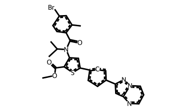 COC(=O)c1sc(-c2ccc(-c3cc4ncccn4n3)cc2)cc1N(C(=O)c1ccc(Br)cc1C)C(C)C